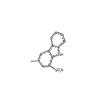 Cc1cc(S(=O)(=O)O)c2[nH]c3ccccc3c2c1